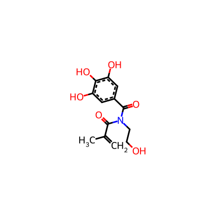 C=C(C)C(=O)N(CCO)C(=O)c1cc(O)c(O)c(O)c1